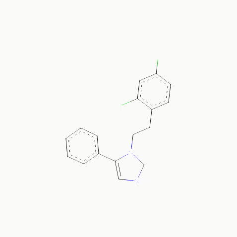 Clc1ccc(CCN2CN[C]=C2c2ccccc2)c(Cl)c1